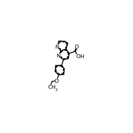 CCOc1ccc(-c2cc(C(=O)O)c3cccnc3n2)cc1